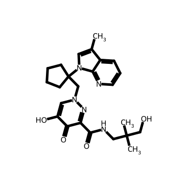 Cc1cn(C2(Cn3cc(O)c(=O)c(C(=O)NCC(C)(C)CO)n3)CCCC2)c2ncccc12